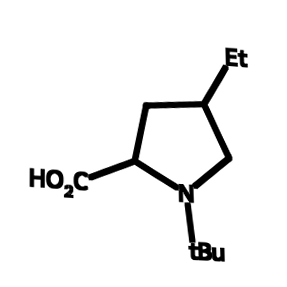 CCC1CC(C(=O)O)N(C(C)(C)C)C1